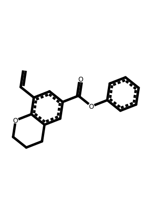 C=Cc1cc(C(=O)Oc2ccccc2)cc2c1OCCC2